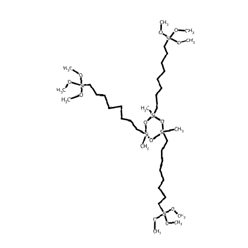 CO[Si](CCCCCCCC[Si]1(C)O[Si](C)(CCCCCCCC[Si](OC)(OC)OC)O[Si](C)(CCCCCCCC[Si](OC)(OC)OC)O1)(OC)OC